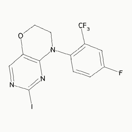 Fc1ccc(N2CCOc3cnc(I)nc32)c(C(F)(F)F)c1